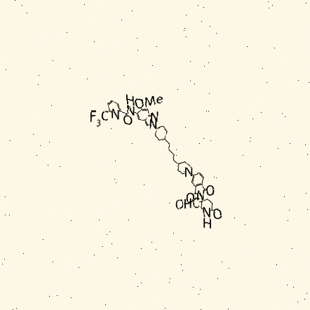 COc1cc2nn(C3CCC(CCCCC4CCN(c5ccc6c(c5)C(=O)N(C5(C=O)CCC(=O)NC5)C6=O)CC4)CC3)cc2cc1NC(=O)c1cccc(C(F)(F)F)n1